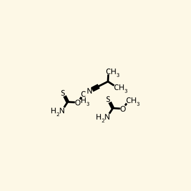 CC(C)C#N.COC(N)=S.COC(N)=S